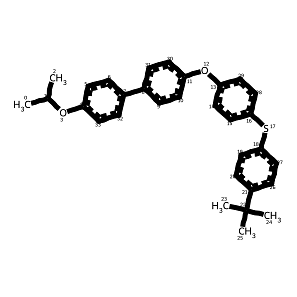 CC(C)Oc1ccc(-c2ccc(Oc3ccc(Sc4ccc(C(C)(C)C)cc4)cc3)cc2)cc1